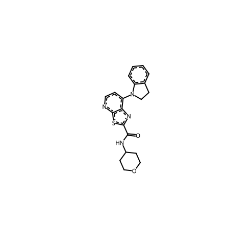 O=C(NC1CCOCC1)c1nc2c(N3CCc4ccccc43)ccnc2s1